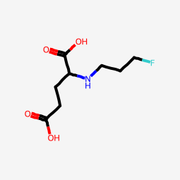 O=C(O)CCC(NCCCF)C(=O)O